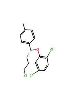 Cc1ccc([C@@H](CCCCl)Oc2cc(Cl)ccc2Cl)cc1